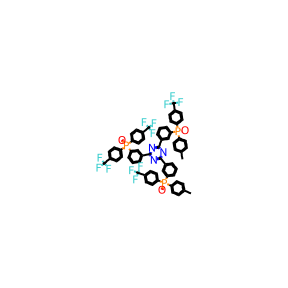 Cc1ccc(P(=O)(c2ccc(C(F)(F)F)cc2)c2cccc(-c3nc(-c4cccc(P(=O)(c5ccc(C)cc5)c5ccc(C(F)(F)F)cc5)c4)nc(-c4cccc(P(=O)(c5ccc(C(F)(F)F)cc5)c5ccc(C(F)(F)F)cc5)c4)n3)c2)cc1